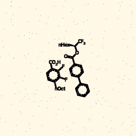 CCCCCCCCc1ccc(C(=O)O)c(F)c1F.CCCCCC[C@H](OC(=O)c1ccc(-c2ccccc2)cc1)C(F)(F)F